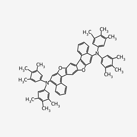 Cc1cc(N(c2cc(C)c(C)c(C)c2)c2cc3oc4cc5c(cc4c3c3ccccc23)oc2cc(N(c3cc(C)c(C)c(C)c3)c3cc(C)c(C)c(C)c3)c3ccccc3c25)cc(C)c1C